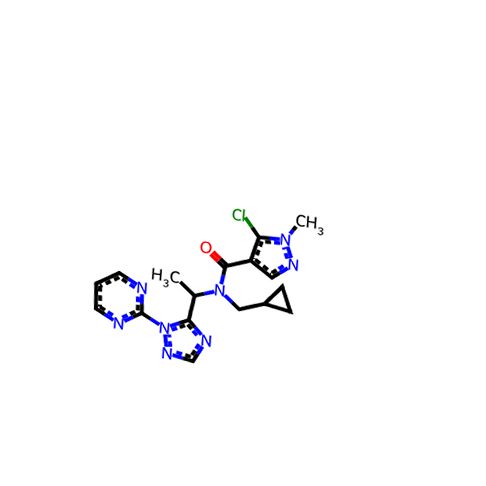 CC(c1ncnn1-c1ncccn1)N(CC1CC1)C(=O)c1cnn(C)c1Cl